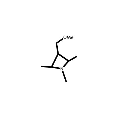 COCC1C(C)N(C)C1C